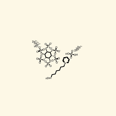 CCCCCCCCCCCCCCCC[n+]1ccccc1.Cl.O=P([O-])(O)O.O=P([O-])([O-])O[C@H]1[C@H](OP(=O)([O-])[O-])[C@@H](OP(=O)([O-])[O-])[C@H](OP(=O)([O-])[O-])[C@@H](OP(=O)([O-])[O-])[C@H]1OP(=O)([O-])[O-].[Zn+2].[Zn+2].[Zn+2].[Zn+2].[Zn+2].[Zn+2]